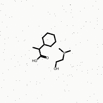 CC(C(=O)O)C1CCCCC1.CN(C)CCO